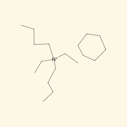 C1CCCCC1.CCCC[N+](CC)(CC)CCCC